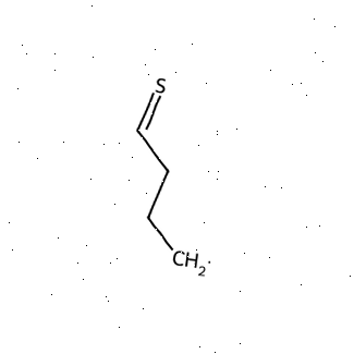 [CH2]CCC=S